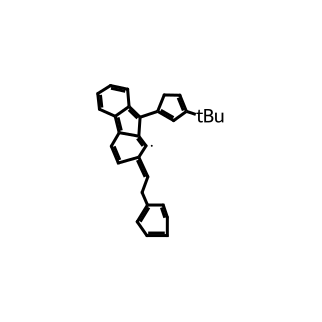 CC(C)(C)C1=CCC(C2=c3ccccc3=c3ccc(=CCc4ccccc4)[c]c32)=C1